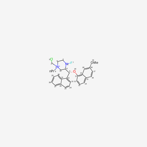 CCC[N+]1(CCl)CCN(F)C([C@H](Oc2cccc3ccc(OC)cc23)c2cccc3ccccc23)C1